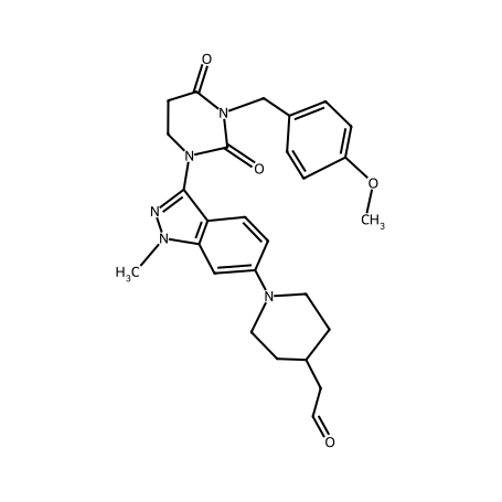 COc1ccc(CN2C(=O)CCN(c3nn(C)c4cc(N5CCC(CC=O)CC5)ccc34)C2=O)cc1